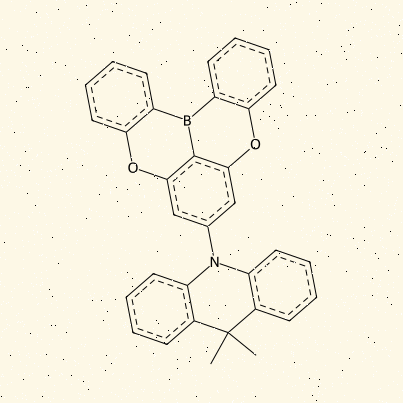 CC1(C)c2ccccc2N(c2cc3c4c(c2)Oc2ccccc2B4c2ccccc2O3)c2ccccc21